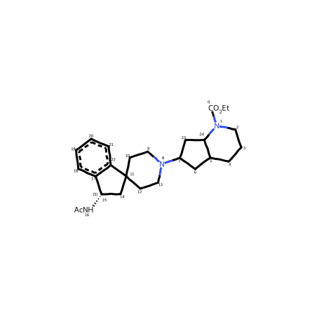 CCOC(=O)N1CCCC2CC(N3CCC4(CC3)C[C@H](NC(C)=O)c3ccccc34)CC21